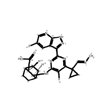 C/N=C/C1(c2nc(-c3n[nH]c4ncc(F)cc34)nc(N[C@H]3C4CCC(CC4)[C@@H]3C(=O)O)c2F)CC1